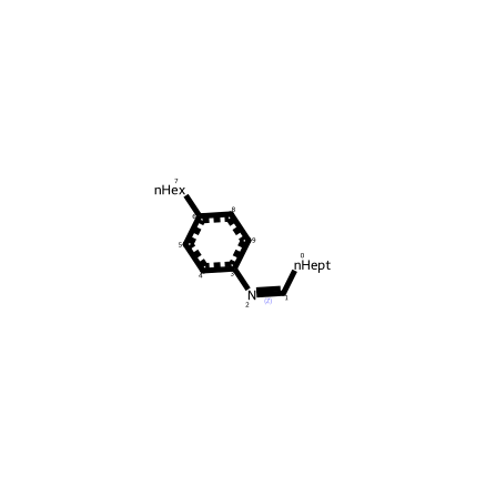 CCCCCCC/C=N\c1ccc(CCCCCC)cc1